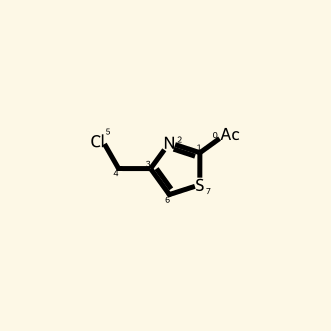 CC(=O)c1nc(CCl)cs1